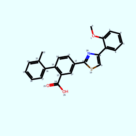 COc1ccccc1-c1csc(-c2ccc(-c3ccccc3C)c(C(=O)O)c2)n1